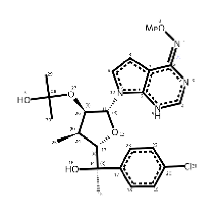 CO/N=c1/nc[nH]c2c1ccn2[C@@H]1O[C@H]([C@](C)(O)c2ccc(Cl)cc2)[C@@H](C)[C@H]1OC(C)(C)O